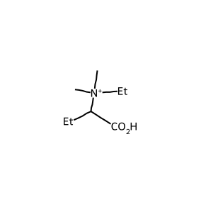 CCC(C(=O)O)[N+](C)(C)CC